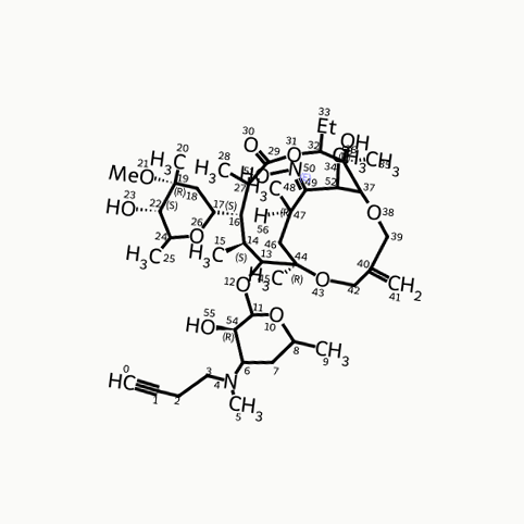 C#CCCN(C)C1CC(C)OC(OC2[C@@H](C)[C@H](C3C[C@@](C)(OC)[C@@H](O)C(C)O3)C(C)C(=O)OC(CC)[C@@](C)(O)C3OCC(=C)CO[C@]2(C)C[C@@H](C)/C(=N\O)C3C)[C@@H]1O